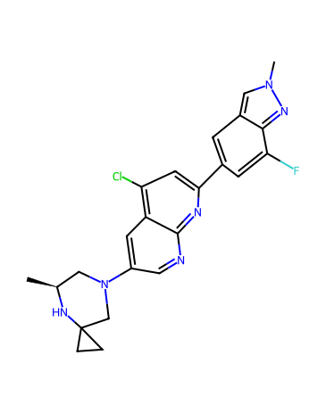 C[C@H]1CN(c2cnc3nc(-c4cc(F)c5nn(C)cc5c4)cc(Cl)c3c2)CC2(CC2)N1